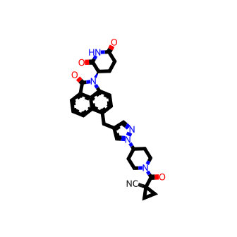 N#CC1(C(=O)N2CCC(n3cc(Cc4ccc5c6c(cccc46)C(=O)N5[C@@H]4CCC(=O)NC4=O)cn3)CC2)CC1